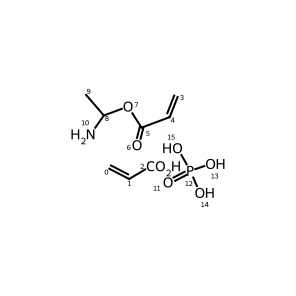 C=CC(=O)O.C=CC(=O)OC(C)N.O=P(O)(O)O